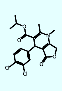 CC1=C(C(=O)OC(C)C)C(c2ccc(Cl)c(Cl)c2)C2=C(COC2=O)N1C